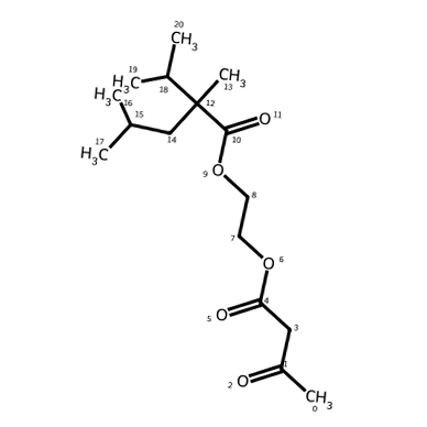 CC(=O)CC(=O)OCCOC(=O)C(C)(CC(C)C)C(C)C